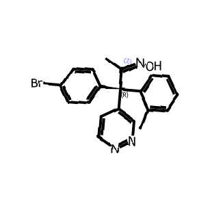 C/C(=N/O)[C@@](c1ccc(Br)cc1)(c1ccnnc1)c1ccccc1C